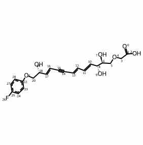 O=C(O)COC[C@H](O)[C@H](O)C=CC=CC#CC=C[C@@H](O)COc1ccc(F)cc1